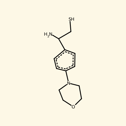 NC(CS)c1ccc(N2CCOCC2)cc1